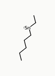 CCCC[CH2][Sn][CH2]C